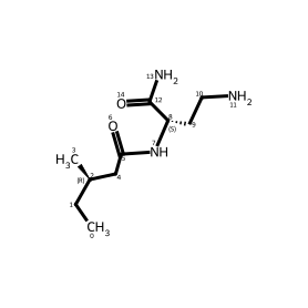 CC[C@@H](C)CC(=O)N[C@@H](CCN)C(N)=O